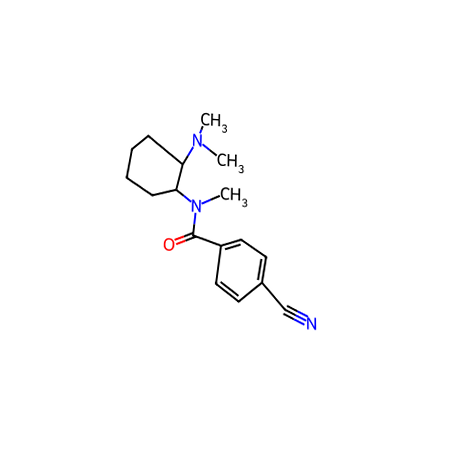 CN(C)C1CCCCC1N(C)C(=O)c1ccc(C#N)cc1